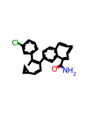 C/C(=C(\C=C/C1C=C1)c1ccc2c(c1)\C(C(N)=O)=C/C=C/C=C/2)c1cccc(Cl)c1